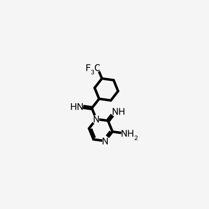 N=C(C1CCCC(C(F)(F)F)C1)n1ccnc(N)c1=N